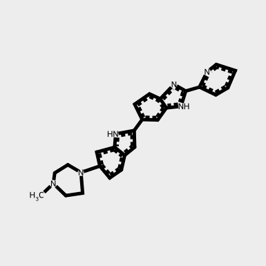 CN1CCN(c2ccc3cc(-c4ccc5nc(-c6ccccn6)[nH]c5c4)[nH]c3c2)CC1